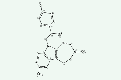 Cc1ccc2c(c1)c1c(n2CC(O)c2ccc(Cl)cc2)CCN(C)CC1